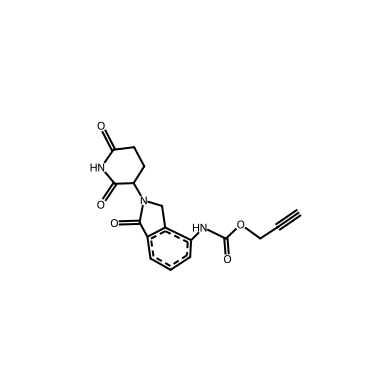 C#CCOC(=O)Nc1cccc2c1CN(C1CCC(=O)NC1=O)C2=O